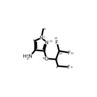 Cn1cc(N)c(OC(CF)C(F)F)n1